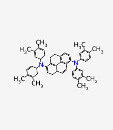 CC1=CCC(N(C2=CCC3C=Cc4c(N(c5ccc(C)c(C)c5)c5ccc(C)c(C)c5)ccc5c4C3=C2CC5)C2C=CC(C)=C(C)C2)C=C1C